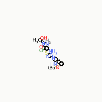 CC(C)(O)Cn1cnc2ccc(Sc3ncc(N4CCC5(CC4)Cc4ccccc4[C@H]5N[S@+]([O-])C(C)(C)C)nc3N)c(Cl)c2c1=O